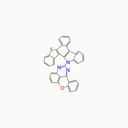 c1ccc2c(c1)Oc1cccc3nc(-n4c5ccccc5c5c6ccccc6c6sc7ccccc7c6c54)nc-2c13